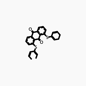 C/C=C\C(=C/C)Sc1cccc2c1C(=O)c1c(SC3=CCCC=C3)cccc1C2=O